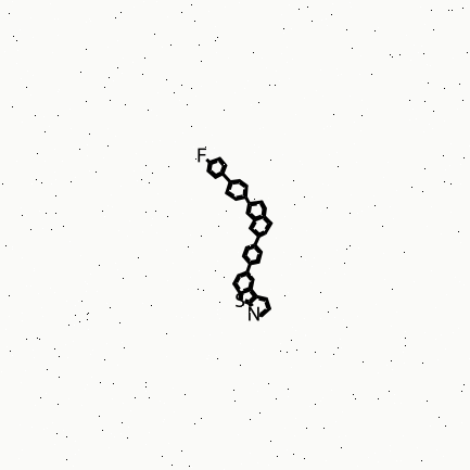 Fc1ccc(-c2ccc(-c3ccc4ccc(-c5ccc(-c6ccc7sc8ncccc8c7c6)cc5)cc4c3)cc2)cc1